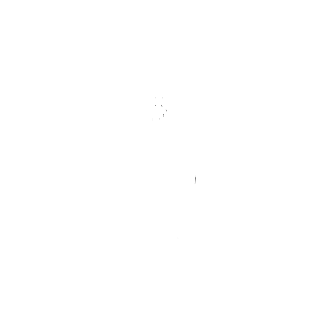 CCCCCCCC/C=C\CCCCCCCCC1=NC(CC)(OCC)CO1